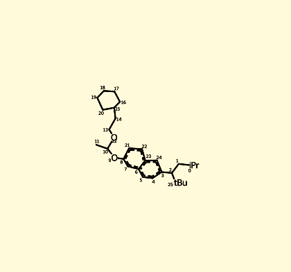 CC(C)CC(c1ccc2cc(OC(C)OCCC3CCCCC3)ccc2c1)C(C)(C)C